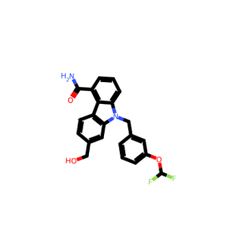 NC(=O)c1cccc2c1c1[c]cc(CO)cc1n2Cc1cccc(OC(F)F)c1